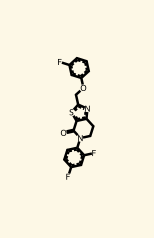 O=C1c2sc(COc3cccc(F)c3)nc2CCN1c1ccc(F)cc1F